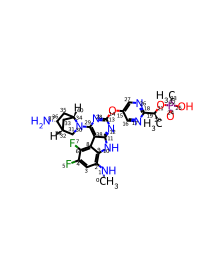 CNc1cc(F)c(F)c2c1[nH]c1nc(Oc3cnc([C@H](C)OP(C)(=O)O)nc3)nc(N3C[C@H]4C[C@@H]3C[C@H]4N)c12